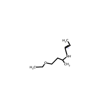 C/C=C/NC(C)CCOCC